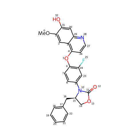 COc1cc2c(Oc3ccc(N4C(=O)OC[C@H]4Cc4ccccc4)cc3F)ccnc2cc1O